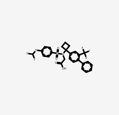 O=C(O)CN(C1(c2ccc(-c3ccccc3)c(C(F)(F)F)c2)CCC1)S(=O)(=O)c1ccc(OC(F)F)cc1